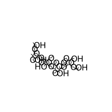 COCC1OC(COCC2C(COCC(C)O)OC(CO)C(OC)C2OC)C(O)C(OC)C1COCC1OC(COC)C(COCC2OC(COCC(C)O)C(C)(C)C(OC)C2O)C(OC)C1O